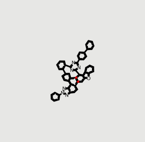 c1ccc(-c2ccc(-c3nc(-c4ccccc4-c4ccc5c(ccc6ccc7nn(-c8ccccc8)nc7c65)c4)nc(-c4cccc5oc6ccccc6c45)n3)cc2)cc1